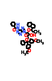 CCC(O[C@@H]1[C@H](O)[C@@H](COC(c2ccccc2)(c2ccc(OC)cc2)c2ccc(OC)cc2)O[C@H]1n1cnc2c(NC(=O)c3ccccc3)ncnc21)c1cccc2ccccc12